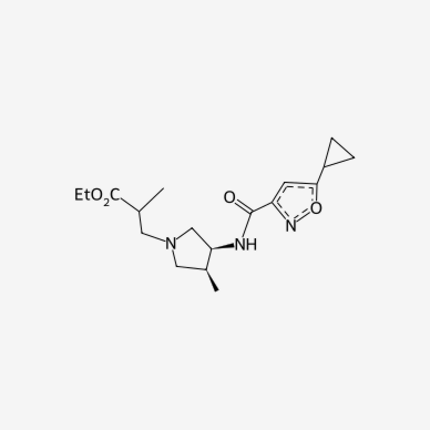 CCOC(=O)C(C)CN1C[C@H](C)[C@H](NC(=O)c2cc(C3CC3)on2)C1